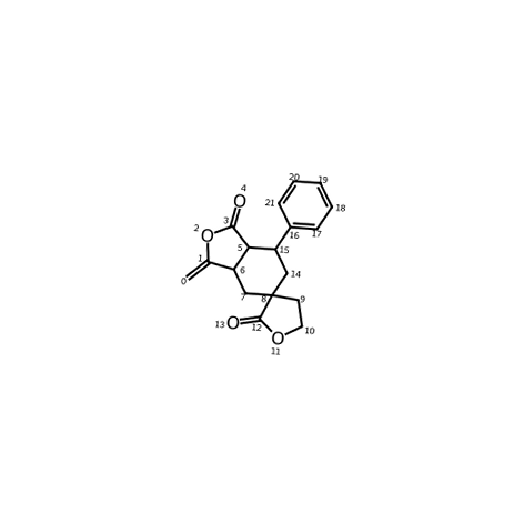 C=C1OC(=O)C2C1CC1(CCOC1=O)CC2c1ccccc1